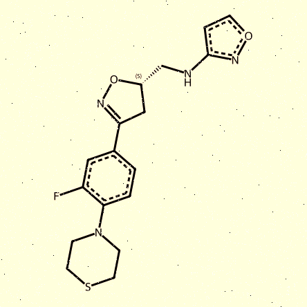 Fc1cc(C2=NO[C@H](CNc3ccon3)C2)ccc1N1CCSCC1